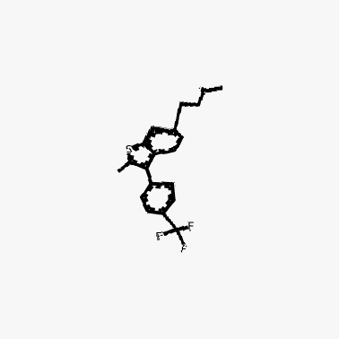 C[CH]CCc1ccc2c(-c3ccc(C(F)(F)F)cc3)c(C)sc2c1